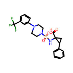 O=C(O)C1(NS(=O)(=O)N2CCN(c3cccc(C(F)(F)F)c3)CC2)CC1c1ccccc1